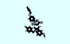 CC#CCOc1ccc(S(=O)(=O)N[C@@H](Cc2c(C)n(Cc3ccc(C)cc3)c3ccc(OC)cc23)C(=O)O)cc1